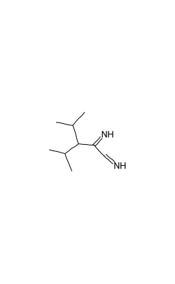 CC(C)C(C(=N)C=N)C(C)C